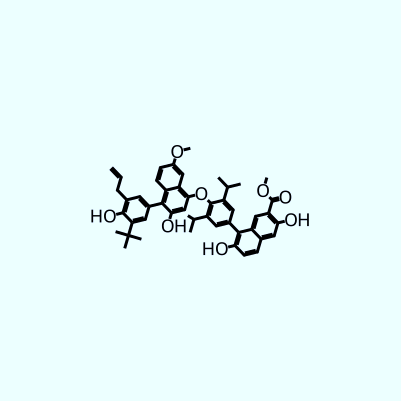 C=CCc1cc(-c2c(O)cc(Oc3c(C(C)C)cc(-c4c(O)ccc5cc(O)c(C(=O)OC)cc45)cc3C(C)C)c3cc(OC)ccc23)cc(C(C)(C)C)c1O